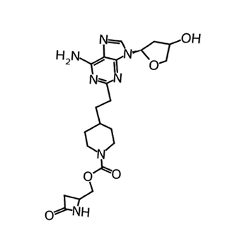 Nc1nc(CCC2CCN(C(=O)OCC3CC(=O)N3)CC2)nc2c1ncn2[C@H]1CC(O)CO1